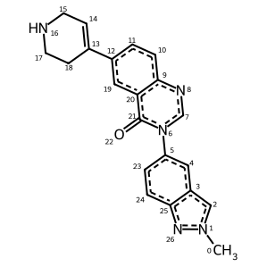 Cn1cc2cc(-n3cnc4ccc(C5=CCNCC5)cc4c3=O)ccc2n1